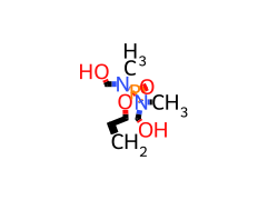 C=CCOP(=O)(N(C)CO)N(C)CO